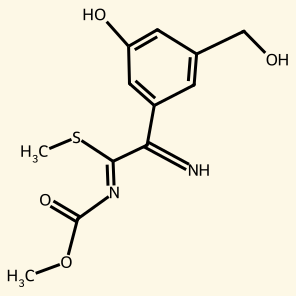 COC(=O)/N=C(\SC)C(=N)c1cc(O)cc(CO)c1